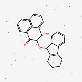 O=C(c1ccccc1)C(OC1C2=C(CCCC2)c2ccccc21)C(=O)c1ccccc1